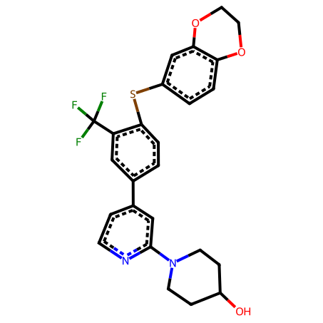 OC1CCN(c2cc(-c3ccc(Sc4ccc5c(c4)OCCO5)c(C(F)(F)F)c3)ccn2)CC1